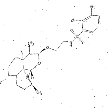 C[C@H]1[C@@H](OCCNS(=O)(=O)c2cccc(N)c2Cl)O[C@@H]2O[C@@]3(C)CCC4[C@H](C)CC[C@@H]1[C@]42OO3